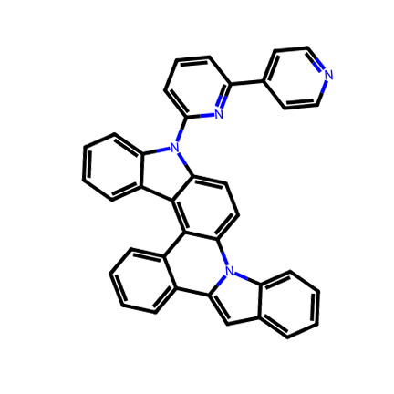 c1cc(-c2ccncc2)nc(-n2c3ccccc3c3c4c5ccccc5c5cc6ccccc6n5c4ccc32)c1